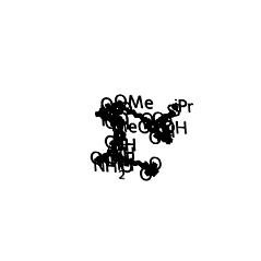 C=C1C[C@H]2C(O)N(C(=O)OCc3ccc(NC(=O)[C@H](CCCNC(N)=O)NC(=O)[C@@H](NC(=O)CCCCCN4C(=O)C=CC4=O)C(C)C)cc3)c3cc(OCCCCCOc4cc5c(cc4OC)C(=O)N4CC(C)(C)C[C@H]4C(O)N5C(=O)OCCSSC(C)C)c(OC)cc3C(=O)N2C1